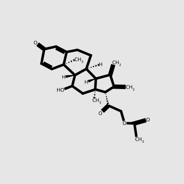 C=C1C(=C)[C@H]2[C@@H]3CCC4=CC(=O)C=C[C@]4(C)[C@H]3C(O)C[C@]2(C)[C@H]1C(=O)COC(C)=O